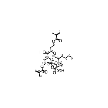 C=C(C)C(=O)OCCC(OCC(CC)CCCC)C(O)C(CCOC(=O)C(=C)C)OP(=O)(O)OP(=O)(O)O